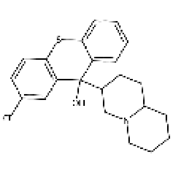 OC1(C2CCC3CCCCN3C2)c2ccccc2Sc2ccc(Cl)cc21